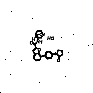 Cl.O=C(N[C@H]1CN2CCC1CC2)c1cc2cccc(-c3ccc(N4CCCC4=O)cc3)c2o1